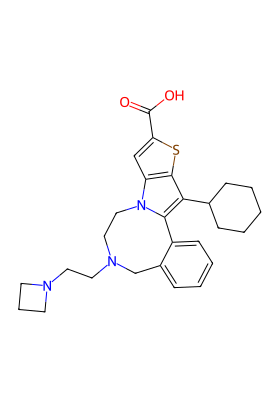 O=C(O)c1cc2c(s1)c(C1CCCCC1)c1n2CCN(CCN2CCC2)Cc2ccccc2-1